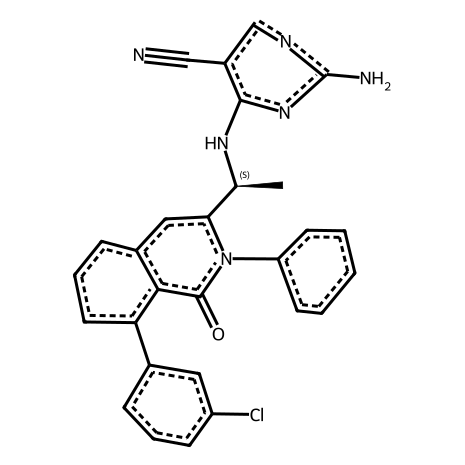 C[C@H](Nc1nc(N)ncc1C#N)c1cc2cccc(-c3cccc(Cl)c3)c2c(=O)n1-c1ccccc1